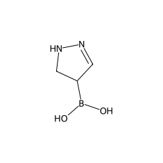 OB(O)C1C=NNC1